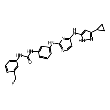 O=C(Nc1cccc(CF)c1)Nc1cccc(Nc2nccc(Nc3cc(C4CC4)n[nH]3)n2)c1